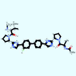 COC(=O)/N=C(/C(=O)N1CCC[C@H]1c1ncc(-c2ccc(-c3ccc(-c4cnc([C@@H]5CCCN5C(=O)[C@H](NC(=O)O)[C@@H](C)OC)[nH]4)c(F)c3)cc2)[nH]1)C(C)C